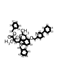 CC1Cc2c(OCc3ccc(-c4ccccc4)cn3)ccc3c2c(c(CC(C)(C)C(=O)OCc2ccccc2)n3Cc2ccccc2)S1